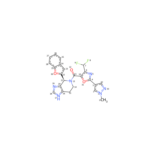 Cn1cc(-c2nc(C(F)F)c(C(=O)N3CCc4[nH]cnc4[C@H]3c3cc4ccccc4o3)o2)cn1